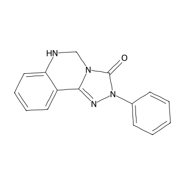 O=c1n(-c2ccccc2)nc2n1CNc1ccccc1-2